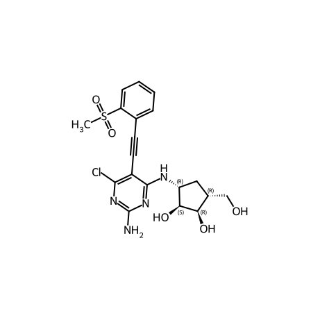 CS(=O)(=O)c1ccccc1C#Cc1c(Cl)nc(N)nc1N[C@@H]1C[C@H](CO)[C@@H](O)[C@H]1O